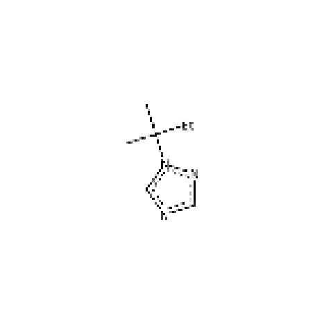 CCC(C)(C)n1cncn1